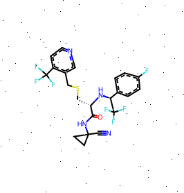 N#CC1(NC(=O)[C@H](CSCc2cnccc2C(F)(F)F)N[C@@H](c2ccc(F)cc2)C(F)(F)F)CC1